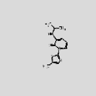 Cc1cnc(-n2cccc(NC(C)C)c2=O)s1